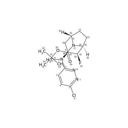 CN(c1ccc(Cl)nn1)[C@H]1C[C@@H]2CC[C@@H]([C@H]1F)N2C(=O)OC(C)(C)C